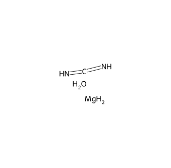 N=C=N.O.[MgH2]